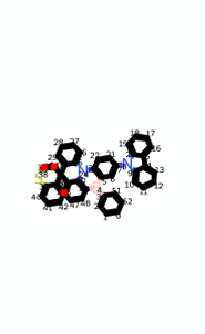 c1ccc(B2c3cc(-n4c5ccccc5c5ccccc54)ccc3N3c4ccccc4C4(c5ccccc5Sc5ccccc54)c4cccc2c43)cc1